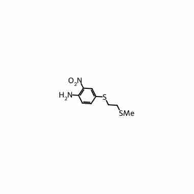 CSCCSc1ccc(N)c([N+](=O)[O-])c1